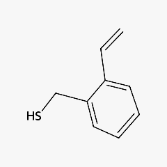 C=Cc1ccccc1CS